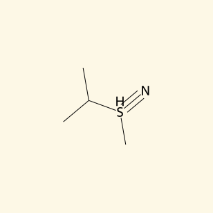 CC(C)[SH](C)#N